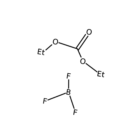 CCOC(=O)OCC.FB(F)F